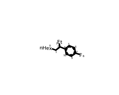 CCCCCCCC(CC)c1ccc(F)cc1